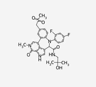 Cn1cc2c3c(c[nH]c3c1=O)C(C(=O)NCC(C)(C)O)N(c1ccc(F)cc1F)c1ccc(CS(C)(=O)=O)cc1-2